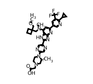 COCC1(CN(C)c2cc(-c3cnc(C4CC4)c(C(F)(F)F)c3)nc3nc(-c4cnc(N5CCN(CC(=O)O)C[C@H]5C)cn4)[nH]c23)CCC1